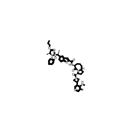 CCCOC(=O)[C@H](C)NP(=O)(Oc1ccccc1)[C@@H](F)c1ccc2sc(C(=O)N[C@H]3CCC[C@H]4CC[C@@H](C(=O)N5CC(c6cncc(F)c6NC)C5)N4C3=O)cc2c1